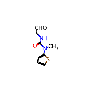 CN(C(=O)NC[C]=O)c1cccs1